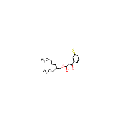 CCCCC(CC)COC(=O)CC(=O)C1=CC(=S)CC=C1